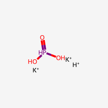 O=[PH](O)O.[H+].[K+].[K+]